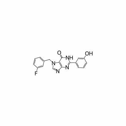 O=c1[nH]c(-c2cccc(O)c2)nc2ncn(Cc3cccc(F)c3)c12